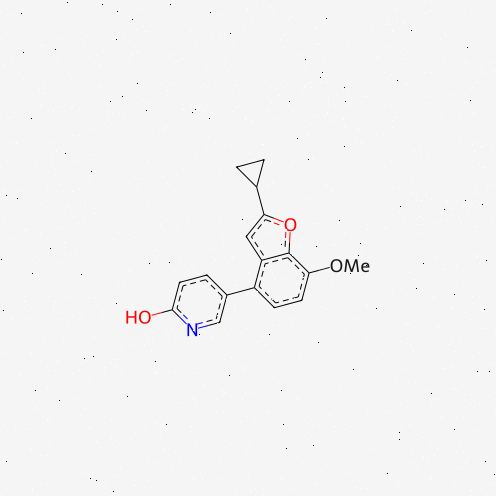 COc1ccc(-c2ccc(O)nc2)c2cc(C3CC3)oc12